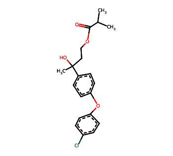 CC(C)C(=O)OCCC(C)(O)c1ccc(Oc2ccc(Cl)cc2)cc1